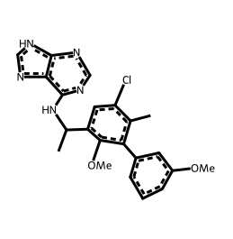 COc1cccc(-c2c(C)c(Cl)cc(C(C)Nc3ncnc4[nH]cnc34)c2OC)c1